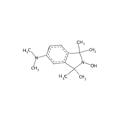 CN(C)c1ccc2c(c1)C(C)(C)N(O)C2(C)C